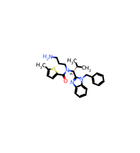 Cc1ccc(C(=O)N(CCCN)[C@@H](c2nc3ccccc3n2Cc2ccccc2)C(C)C)s1